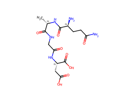 C[C@H](NC(=O)[C@@H](N)CCC(N)=O)C(=O)NCC(=O)N[C@@H](CC(=O)O)C(=O)O